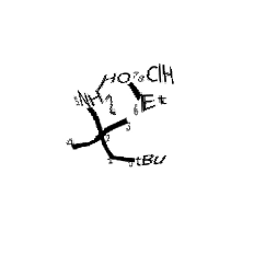 CC(C)(C)CC(C)(C)N.CCO.Cl